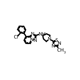 Cc1nsc(N2CCC(Nc3nc4c(-c5ccccc5Cl)cccn4n3)CC2)n1